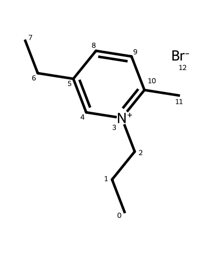 CCC[n+]1cc(CC)ccc1C.[Br-]